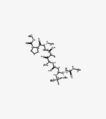 CCCCOC(=O)[C@@H]1CCCN1C(=O)[C@H](CC(C)C)NC(=O)C(C)C(=O)[C@@H](OC(=O)C[C@H](O[Si](C)(C)C(C)(C)C)[C@H](NC(=O)OC(C)(C)C)[C@@H](C)CC)C(C)C